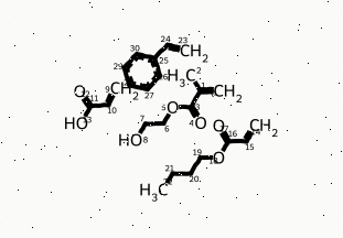 C=C(C)C(=O)OCCO.C=CC(=O)O.C=CC(=O)OCCCC.C=Cc1ccccc1